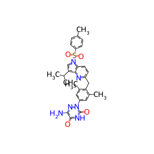 Cc1ccc(S(=O)(=O)n2cc(C(C)C)c3nc(Cc4c(C)cc(-n5nc(N)c(=O)[nH]c5=O)cc4C)ccc32)cc1